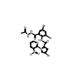 CC(=O)NNC(=O)c1cc(Br)cc(Br)c1NC(=O)c1cc(Br)cn1-c1ncccc1[N+](=O)[O-]